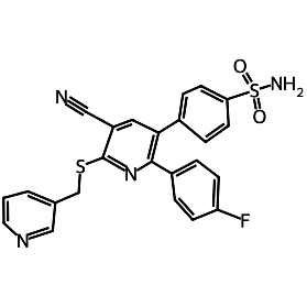 N#Cc1cc(-c2ccc(S(N)(=O)=O)cc2)c(-c2ccc(F)cc2)nc1SCc1cccnc1